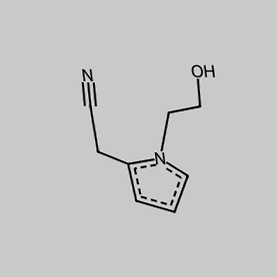 N#CCc1cccn1CCO